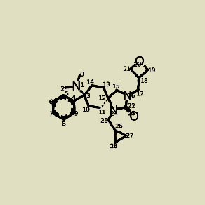 CN(C)[C@]1(c2ccccc2)CC[C@]2(CC1)CN(CC1COC1)C(=O)N2CC1CC1